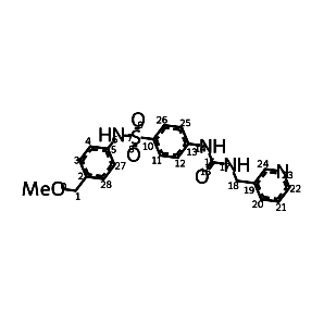 COCc1ccc(NS(=O)(=O)c2ccc(NC(=O)NCc3cccnc3)cc2)cc1